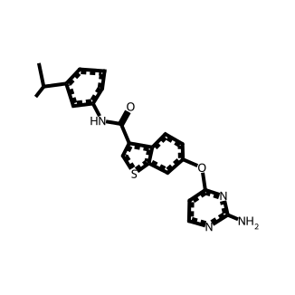 CC(C)c1cccc(NC(=O)c2csc3cc(Oc4ccnc(N)n4)ccc23)c1